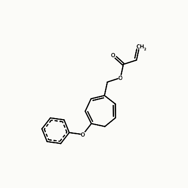 C=CC(=O)OCC1=CC=C(Oc2ccccc2)CC=C1